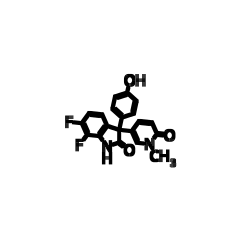 Cn1cc(C2(c3ccc(O)cc3)C(=O)Nc3c2ccc(F)c3F)ccc1=O